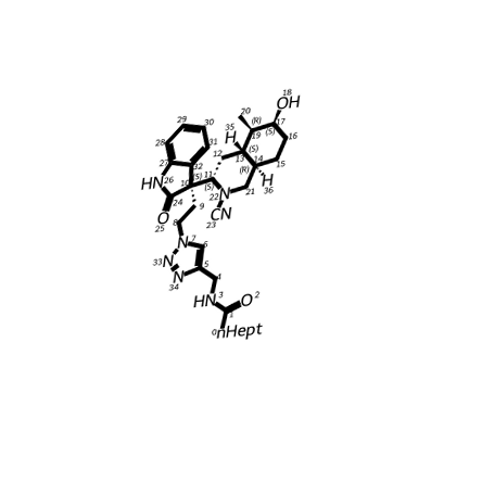 CCCCCCCC(=O)NCc1cn(CC[C@]2([C@@H]3C[C@H]4[C@@H](CC[C@H](O)[C@@H]4C)CN3C#N)C(=O)Nc3ccccc32)nn1